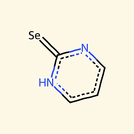 [Se]=c1nccc[nH]1